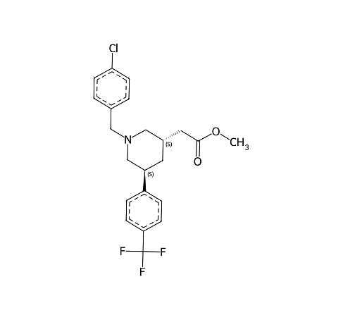 COC(=O)C[C@@H]1C[C@@H](c2ccc(C(F)(F)F)cc2)CN(Cc2ccc(Cl)cc2)C1